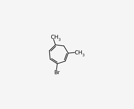 CC1=CC=C(Br)C=C(C)C1